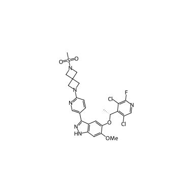 COc1cc2[nH]nc(-c3ccc(N4CC5(C4)CN(S(C)(=O)=O)C5)nc3)c2cc1O[C@H](C)c1c(Cl)cnc(F)c1Cl